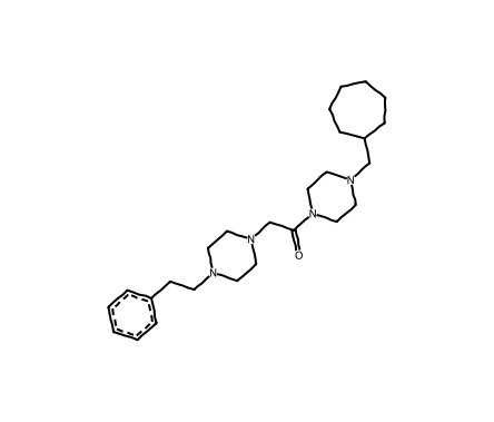 O=C(CN1CCN(CCc2ccccc2)CC1)N1CCN(CC2CCCCCC2)CC1